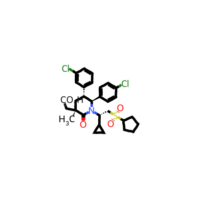 C[C@]1(CC(=O)O)C[C@H](c2cccc(Cl)c2)[C@@H](c2ccc(Cl)cc2)N([C@H](CS(=O)(=O)C2CCCC2)C2CC2)C1=O